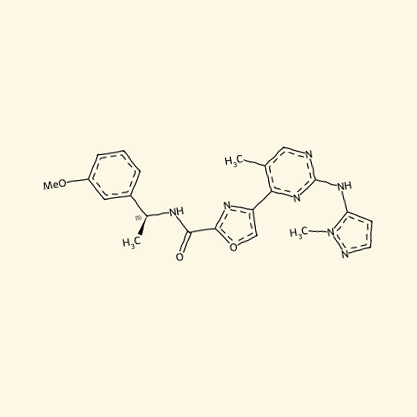 COc1cccc([C@H](C)NC(=O)c2nc(-c3nc(Nc4ccnn4C)ncc3C)co2)c1